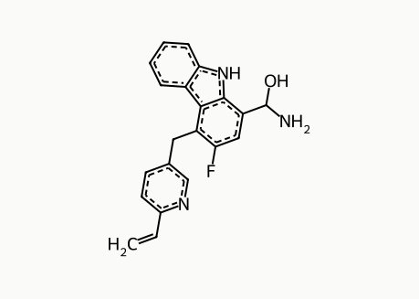 C=Cc1ccc(Cc2c(F)cc(C(N)O)c3[nH]c4ccccc4c23)cn1